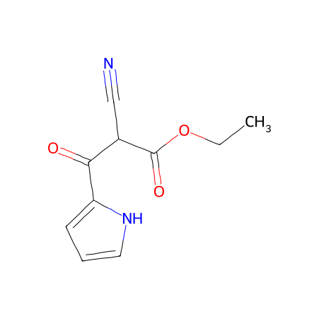 CCOC(=O)C(C#N)C(=O)c1ccc[nH]1